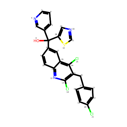 OC(c1cccnc1)(c1ccc2nc(Cl)c(Cc3ccc(Cl)cc3)c(Cl)c2c1)c1cncs1